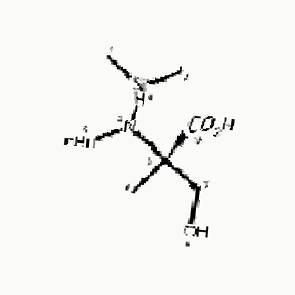 CCCCN([SiH](C)C)[C@@](C)(CO)C(=O)O